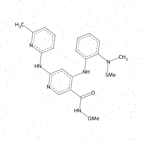 CONC(=O)c1cnc(Nc2cccc(C)n2)cc1Nc1ccccc1N(C)SC